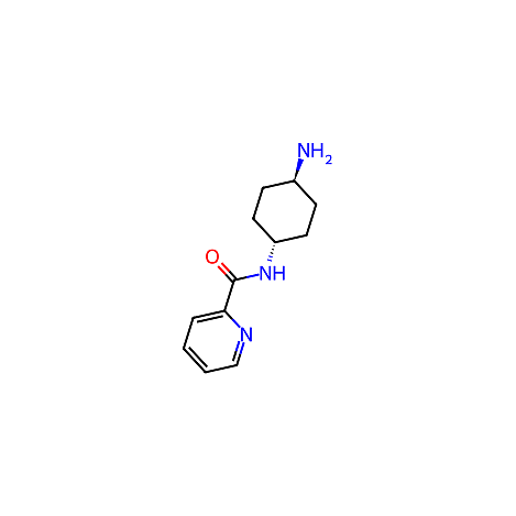 N[C@H]1CC[C@H](NC(=O)c2ccccn2)CC1